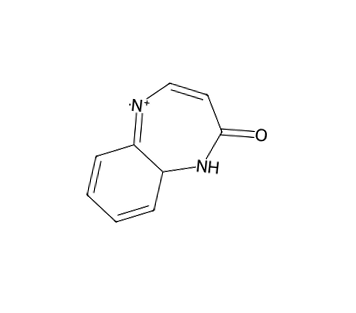 O=C1C=C[N+]=C2C=CC=CC2N1